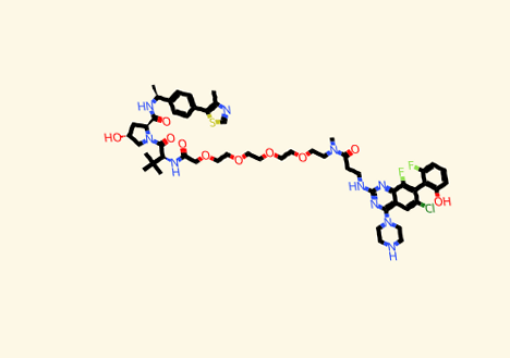 Cc1ncsc1-c1ccc([C@H](C)NC(=O)[C@@H]2C[C@@H](O)CN2C(=O)[C@@H](NC(=O)COCCOCCOCCOCCN(C)C(=O)CCNc2nc(N3CCNCC3)c3cc(Cl)c(-c4c(O)cccc4F)c(F)c3n2)C(C)(C)C)cc1